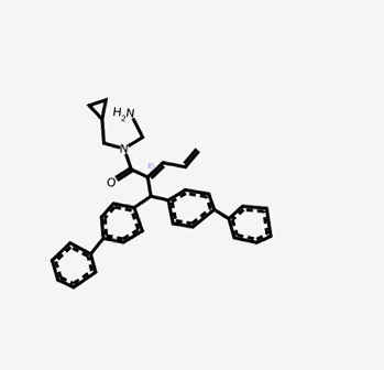 C=C/C=C(/C(=O)N(CN)CC1CC1)C(c1ccc(-c2ccccc2)cc1)c1ccc(-c2ccccc2)cc1